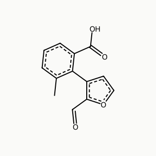 Cc1cccc(C(=O)O)c1-c1ccoc1C=O